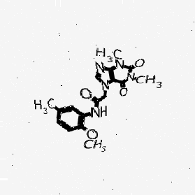 COc1ccc(C)cc1NC(=O)Cn1cnc2c1c(=O)n(C)c(=O)n2C